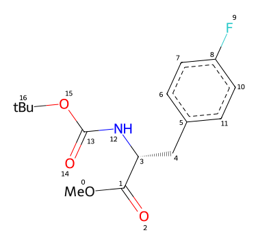 COC(=O)[C@@H](Cc1ccc(F)cc1)NC(=O)OC(C)(C)C